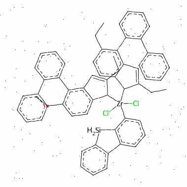 CCC1=Cc2c(ccc(CC)c2-c2ccccc2-c2ccccc2)[CH]1[Zr]([Cl])([Cl])([c]1cccc2c1[SiH2]c1ccccc1-2)[CH]1C(CC)=Cc2c1ccc(CC)c2-c1ccccc1-c1ccccc1